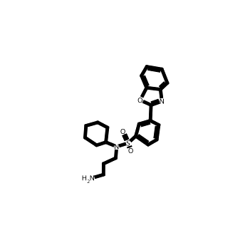 NCCCN(C1CCCCC1)S(=O)(=O)c1cccc(-c2nc3ccccc3o2)c1